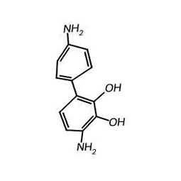 Nc1ccc(-c2ccc(N)c(O)c2O)cc1